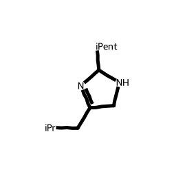 CCCC(C)C1N=C(CC(C)C)CN1